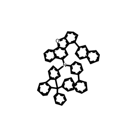 c1ccc(-c2cccc(N(c3ccc4c(c3)C(c3ccccc3)(c3ccccc3)c3ccccc3-4)c3cc4c(oc5cccc(-c6ccc7ccccc7c6)c54)c4ccccc34)c2)cc1